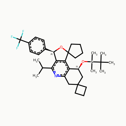 CC(C)c1nc2c(c3c1[C@@H](c1ccc(C(F)(F)F)cc1)OC31CCCC1)[C@@H](O[Si](C)(C)C(C)(C)C)CC1(CCC1)C2